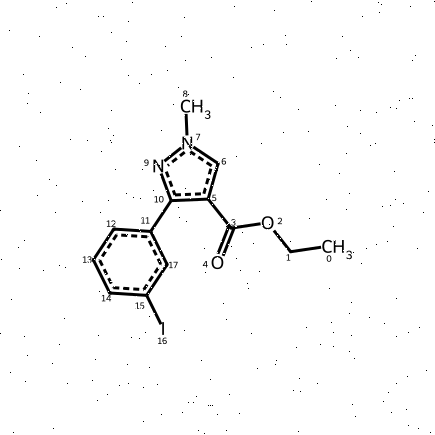 CCOC(=O)c1cn(C)nc1-c1cccc(I)c1